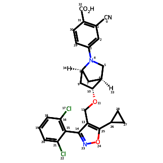 N#Cc1cc(N2C[C@@H]3C[C@H]2C[C@H]3OCc2c(-c3c(Cl)cccc3Cl)noc2C2CC2)ccc1C(=O)O